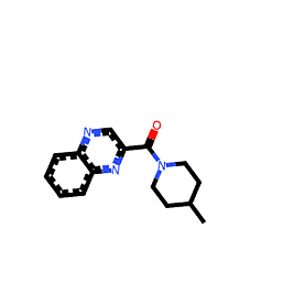 CC1CCN(C(=O)c2cnc3ccccc3n2)CC1